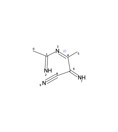 CC(=N)/N=C(/C)C(=N)C#N